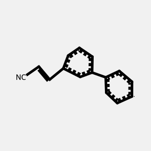 N#C/C=C/c1cccc(-c2cc[c]cc2)c1